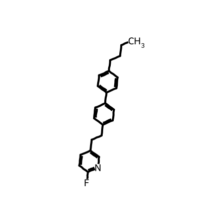 CCCCc1ccc(-c2ccc(CCc3ccc(F)nc3)cc2)cc1